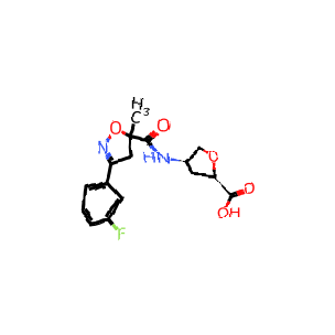 CC1(C(=O)N[C@H]2CO[C@@H](C(=O)O)C2)CC(c2cccc(F)c2)=NO1